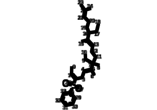 C/C=C(\C/C=C(\C)C(C)(CC)CC/C=C(\C)C(CC)CCC=C(C)C)S(=O)(=O)c1ccccc1